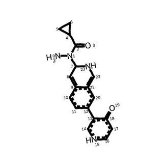 NN(C(=O)C1CC1)C1C=c2ccc(-c3c[nH]ccc3=O)cc2=CN1